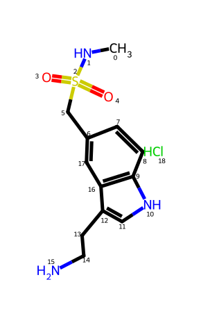 CNS(=O)(=O)Cc1ccc2[nH]cc(CCN)c2c1.Cl